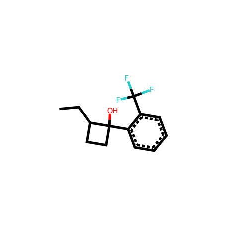 CCC1CCC1(O)c1ccccc1C(F)(F)F